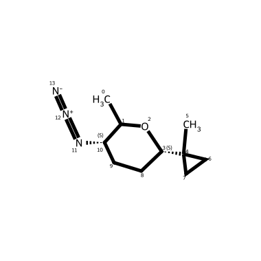 CC1O[C@H](C2(C)CC2)CC[C@@H]1N=[N+]=[N-]